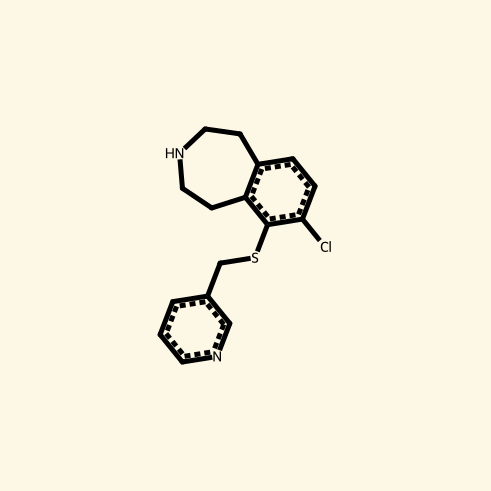 Clc1ccc2c(c1SCc1cccnc1)CCNCC2